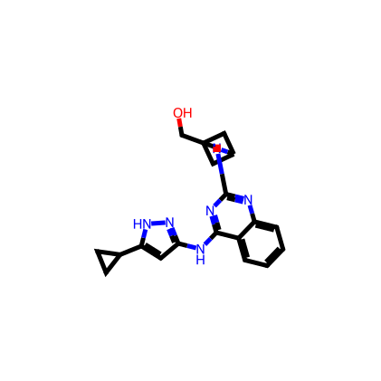 OCC12CC(C1)N(c1nc(Nc3cc(C4CC4)[nH]n3)c3ccccc3n1)C2